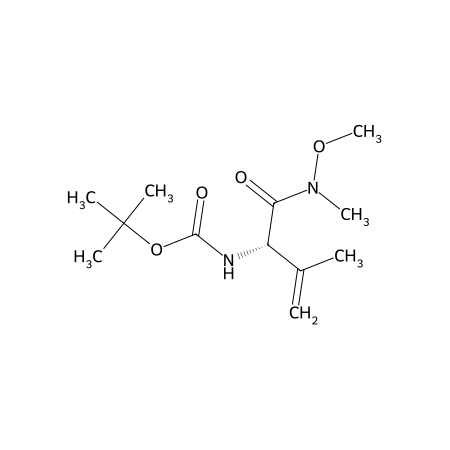 C=C(C)[C@H](NC(=O)OC(C)(C)C)C(=O)N(C)OC